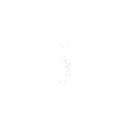 NCCOc1ccc(-n2ccn(-c3ccc(Oc4ccccc4)cc3)c2=O)cc1